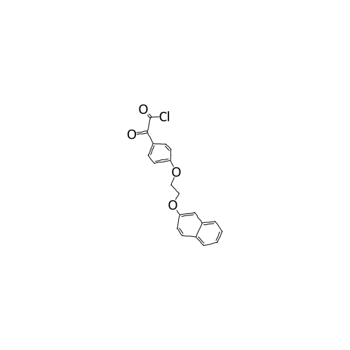 O=C(Cl)C(=O)c1ccc(OCCOc2ccc3ccccc3c2)cc1